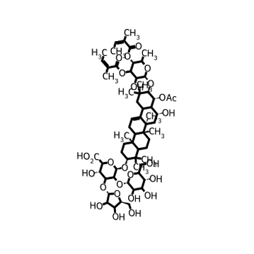 C/C=C(/C)C(=O)OC1C(O)[C@H](O[C@H]2[C@H](OC(C)=O)C3C(CC2(C)C)C2=CCC4[C@@]5(C)CC[C@H](O[C@@H]6OC(C(=O)O)[C@@H](O)C(O[C@@H]7O[C@@H](CO)C(O)C7O)C6O[C@@H]6OC(CO)[C@H](O)C(O)C6O)C(C)(C)C5CC[C@@]4(C)[C@]2(C)C[C@H]3O)OC(C)[C@@H]1OC(=O)/C(C)=C\C